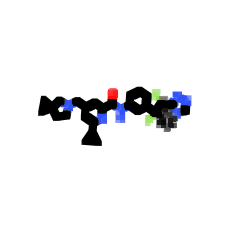 Cn1cnnc1[C@@H](F)[C@](C)(F)c1cccc(NC(=O)c2cc(CN3CCC4(CC4)C3)cc(C3CC3)n2)c1